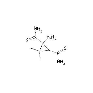 CC1(C)C(C(N)=S)C1(N)C(N)=S